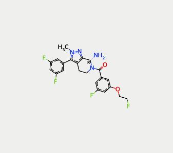 Cn1nc2c(c1-c1cc(F)cc(F)c1)CCN(C(=O)c1cc(F)cc(OCCF)c1)[C@H]2N